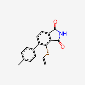 C=CSc1c(-c2ccc(C)cc2)ccc2c1C(=O)NC2=O